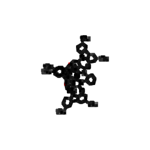 CC(C)(C)c1ccc2c(c1)c1ccccc1n2-c1ccc(-n2c3ccc(C(C)(C)C)cc3c3cc(C(C)(C)C)ccc32)c2c1C(=O)N(c1ccccc1N1C(=O)c3c(-n4c5ccc(C(C)(C)C)cc5c5cc(C(C)(C)C)ccc54)ccc(-n4c5ccc(C(C)(C)C)cc5c5cc(C(C)(C)C)ccc54)c3C1=O)C2=O